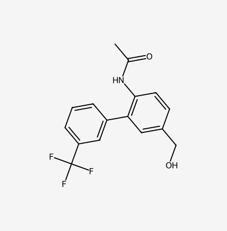 CC(=O)Nc1ccc(CO)cc1-c1cccc(C(F)(F)F)c1